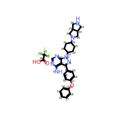 Nc1ncnc2c1c(-c1ccc(Oc3ccccc3)cc1)nn2C1CCC(N2CC3CNCC3C2)CC1.O=C(O)C(F)(F)F